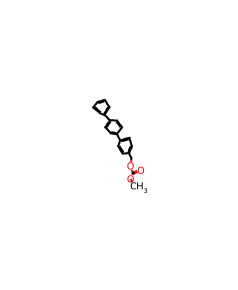 COC(=O)OCc1ccc(-c2ccc(-c3ccccc3)cc2)cc1